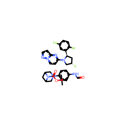 CC(C)(C)OC(=O)N1C2CC1CN(c1ccc(NC=O)cc1)C2.Fc1ccc(F)c([C@H]2C[C@H](F)CN2c2ccn3nccc3n2)c1